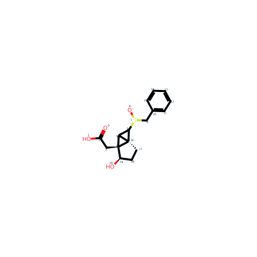 O=C(O)C[C@@]12C3C([S+]([O-])Cc4ccccc4)[C@]31CC[C@H]2O